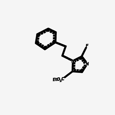 CCOC(=O)c1cnc(F)n1CCc1ccccc1